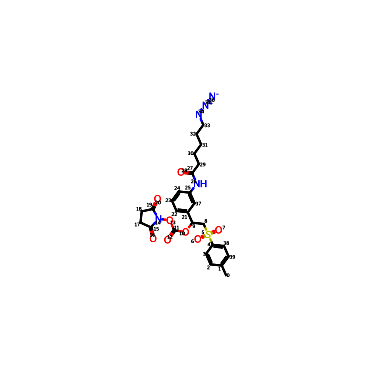 Cc1ccc(S(=O)(=O)CC(OC(=O)ON2C(=O)CCC2=O)c2cccc(NC(=O)CCCCCN=[N+]=[N-])c2)cc1